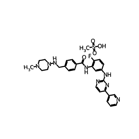 CN1CCN(NCc2ccc(C(=O)Nc3cc(Nc4nccc(-c5cccnc5)n4)ccc3F)cc2)CC1.CS(=O)(=O)O